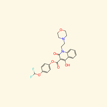 O=C(Oc1ccc(OC(F)F)cc1)c1c(O)c2ccccc2n(CCN2CCOCC2)c1=O